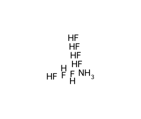 F.F.F.F.F.F.F.N